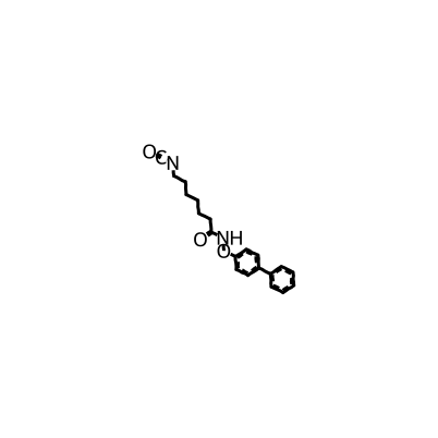 O=C=NCCCCCCC(=O)NOc1ccc(-c2ccccc2)cc1